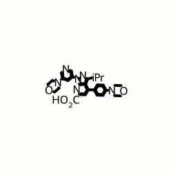 CC(C)c1nn(-c2cncc(N3CCOCC3)c2)c2nc(C(=O)O)cc(-c3ccc(N4CCOCC4)cc3)c12